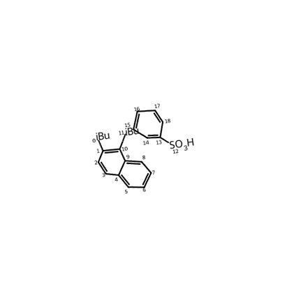 CCC(C)c1ccc2ccccc2c1C(C)CC.O=S(=O)(O)c1ccccc1